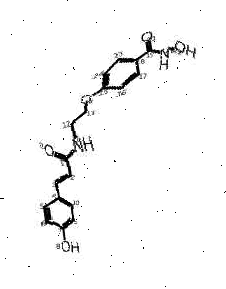 O=C(C=Cc1ccc(O)cc1)NCCOc1ccc(C(=O)NO)cc1